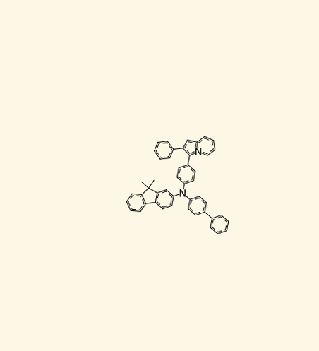 CC1(C)c2ccccc2-c2ccc(N(c3ccc(-c4ccccc4)cc3)c3ccc(-c4c(-c5ccccc5)cc5ccccn45)cc3)cc21